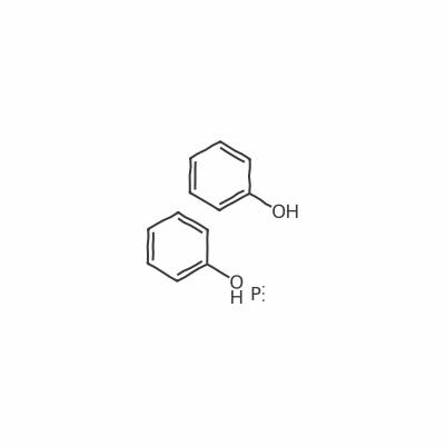 Oc1ccccc1.Oc1ccccc1.[P]